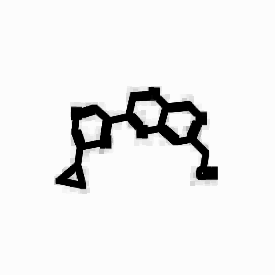 OCc1cc2nc(-c3cncc(C4CC4)n3)cnc2cn1